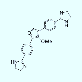 COc1c(-c2ccc(C3=NCCN3)cc2)coc1-c1ccc(C2=NCCN2)cc1